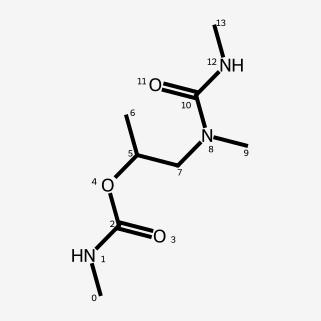 CNC(=O)OC(C)CN(C)C(=O)NC